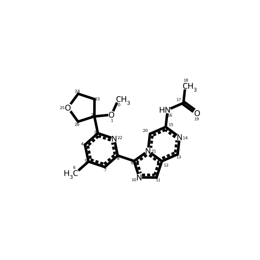 COC1(c2cc(C)cc(-c3ncc4cnc(NC(C)=O)cn34)n2)CCOC1